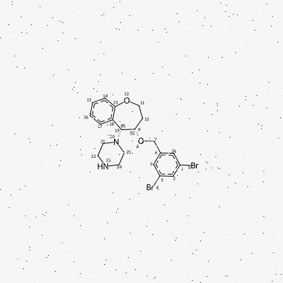 Brc1cc(Br)cc(CO[C@H]2CCOc3ccccc3[C@H]2N2CCNCC2)c1